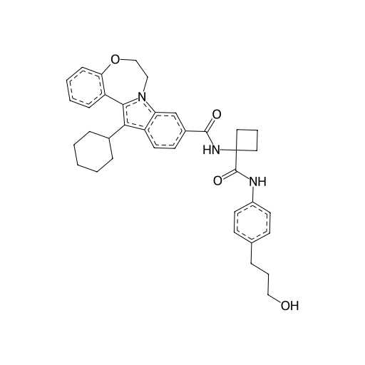 O=C(NC1(C(=O)Nc2ccc(CCCO)cc2)CCC1)c1ccc2c(C3CCCCC3)c3n(c2c1)CCOc1ccccc1-3